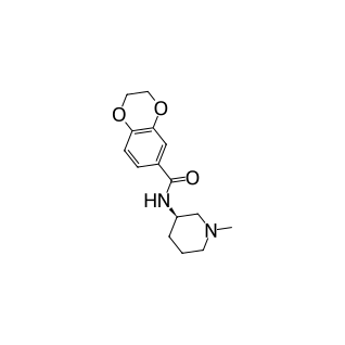 CN1CCC[C@@H](NC(=O)c2ccc3c(c2)OCCO3)C1